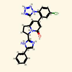 O=c1cc(-c2cc(Cl)ccc2-n2cnnn2)cc2n1C(c1ncc(-c3ccccc3)[nH]1)CC2